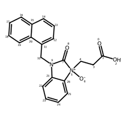 O=C(O)CC[N+]1([O-])C(=O)N(Cc2cccc3ccccc23)c2ccccc21